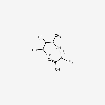 CC(C)C(=O)O.CC(C)C(O)C(C)C(C)O